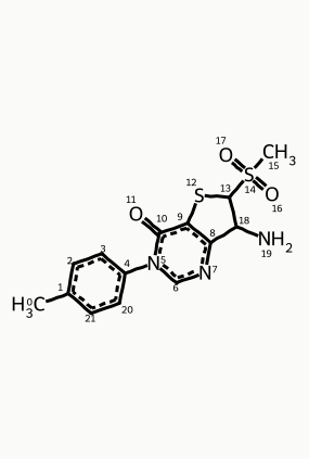 Cc1ccc(-n2cnc3c(c2=O)SC(S(C)(=O)=O)C3N)cc1